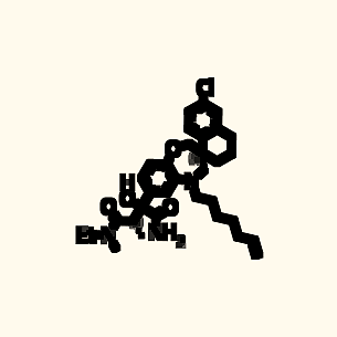 C=CCCCCCN1C[C@@]2(CCCc3cc(Cl)ccc32)COc2ccc(C(O)(C(N)=O)[C@H](C)C(=O)N(C)CC)cc21